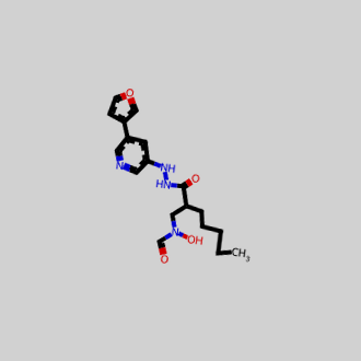 CCCCCC(CN(O)C=O)C(=O)NNc1cncc(-c2ccoc2)c1